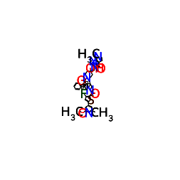 COc1cc(-c2cc(F)c(C(=O)N3CC[C@@H](C(=O)N4CCC(O)(Cn5cnc6c(ccn6C)c5=O)CC4)[C@H](c4ccccc4)C3)s2)cc(C)n1